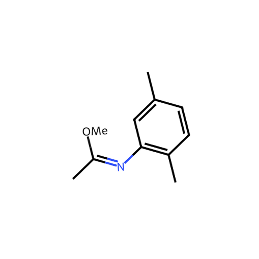 CO/C(C)=N\c1cc(C)ccc1C